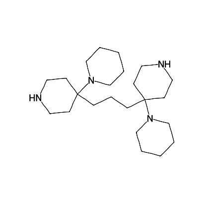 C1CCN(C2(CCCC3(N4CCCCC4)CCNCC3)CCNCC2)CC1